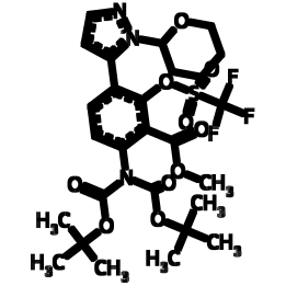 COC(=O)c1c(N(C(=O)OC(C)(C)C)C(=O)OC(C)(C)C)ccc(-c2ccnn2C2CCCCO2)c1OS(=O)(=O)C(F)(F)F